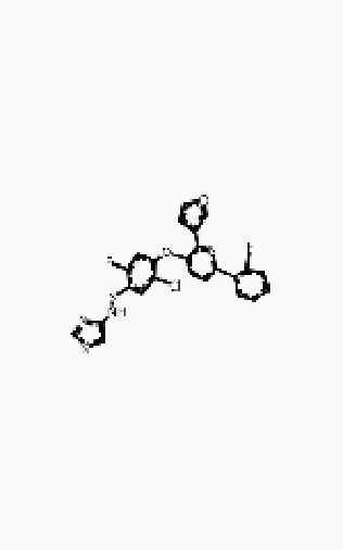 Fc1cc(Oc2ccc(-c3ccccc3F)nc2-c2ccoc2)c(Cl)cc1SNc1cscn1